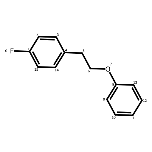 Fc1ccc(CCOc2ccccc2)cc1